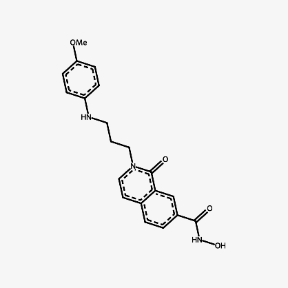 COc1ccc(NCCCn2ccc3ccc(C(=O)NO)cc3c2=O)cc1